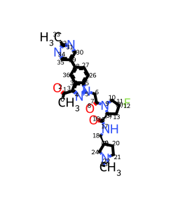 CC(=O)c1nn(CC(=O)N2C[C@H](F)C[C@H]2C(=O)NC[C@H]2CCN(C)C2)c2ccc(-c3cnc(C)nc3)cc12